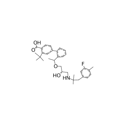 Cc1ccc(CC(C)(C)NC[C@@H](O)COC(C)c2ccccc2-c2ccc(C(=O)O)c(C(C)(C)C)c2)cc1F